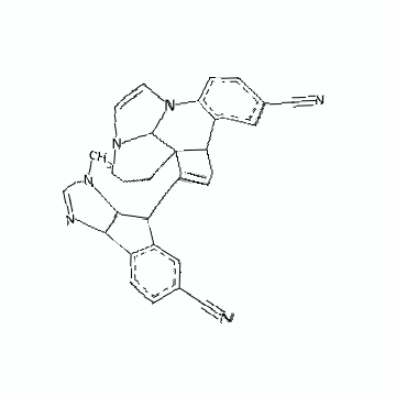 CN1C=NC2c3ccc(C#N)cc3C(C3=CC4c5cc(C#N)ccc5N5C=CN6CCC34C65)C21